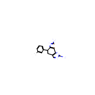 Nc1ncc2c(n1)-c1sc(N)nc1C(c1cccc([N+](=O)[O-])c1)C2